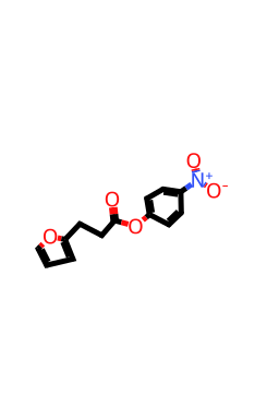 O=C(CCc1ccco1)Oc1ccc([N+](=O)[O-])cc1